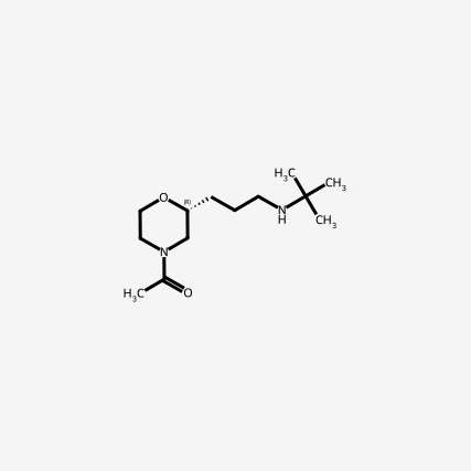 CC(=O)N1CCO[C@H](CCCNC(C)(C)C)C1